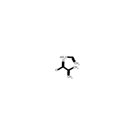 C=C(C)C(=O)Cl.C=CC(=O)O